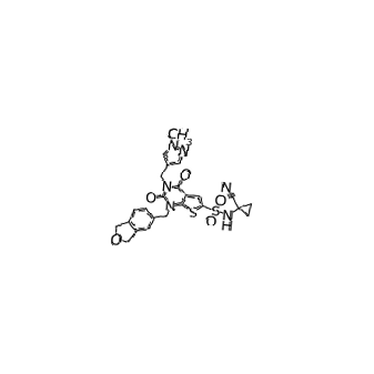 Cn1cc(Cn2c(=O)c3cc(S(=O)(=O)NC4(C#N)CC4)sc3n(Cc3ccc4c(c3)COC4)c2=O)cn1